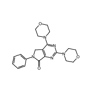 O=C1c2nc(N3CCOCC3)nc(N3CCOCC3)c2CN1c1ccccc1